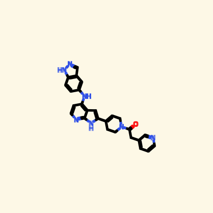 O=C(Cc1cccnc1)N1CC=C(c2cc3c(Nc4ccc5[nH]ncc5c4)ccnc3[nH]2)CC1